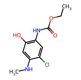 CCOC(=O)Nc1cc(Cl)c(NC)cc1O